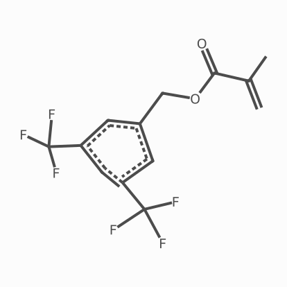 C=C(C)C(=O)OCc1cc(C(F)(F)F)cc(C(F)(F)F)c1